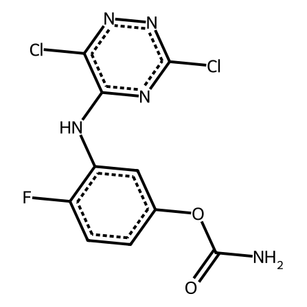 NC(=O)Oc1ccc(F)c(Nc2nc(Cl)nnc2Cl)c1